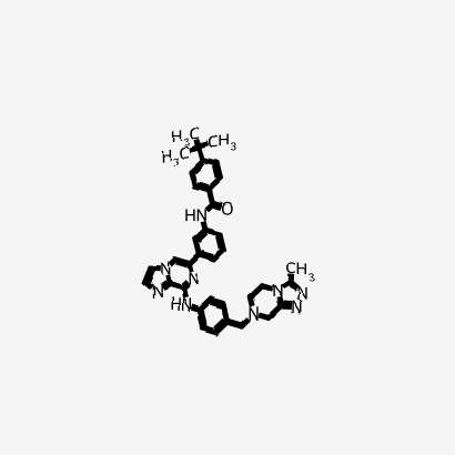 Cc1nnc2n1CCN(Cc1ccc(Nc3nc(-c4cccc(NC(=O)c5ccc(C(C)(C)C)cc5)c4)cn4ccnc34)cc1)C2